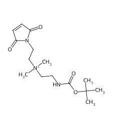 CC(C)(C)OC(=O)NCC[N+](C)(C)CCN1C(=O)C=CC1=O